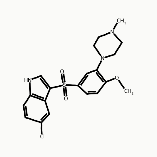 COc1ccc(S(=O)(=O)c2c[nH]c3ccc(Cl)cc23)cc1N1CCN(C)CC1